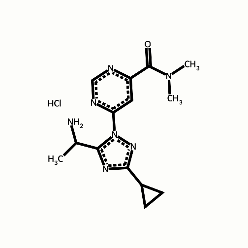 CC(N)c1nc(C2CC2)nn1-c1cc(C(=O)N(C)C)ncn1.Cl